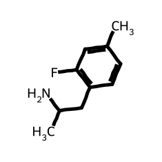 Cc1ccc(CC(C)N)c(F)c1